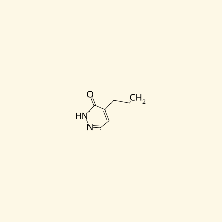 C=CCc1c[c]n[nH]c1=O